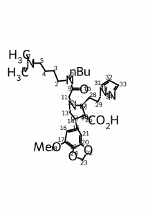 CCCCN(CCCCN(C)C)C(=O)CN1C[C@H](c2cc(OC)c3c(c2)OCO3)[C@@H](C(=O)O)[C@@H]1CCn1cccn1